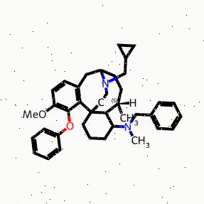 COc1ccc2c(c1Oc1ccccc1)C13CCCC(N(C)Cc4ccccc4)C1[C@@H](C)CCC(C2)N(CC1CC1)CC3